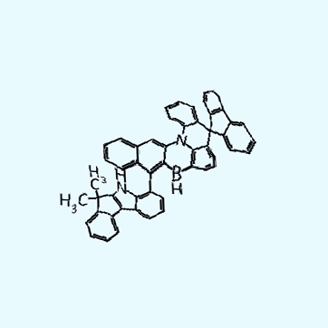 CC1(C)c2ccccc2-c2c1[nH]c1c(-c3c4c(cc5ccccc35)N3c5ccccc5C5(C6=C(CCC=C6)c6ccccc65)c5cccc(c53)B4)cccc21